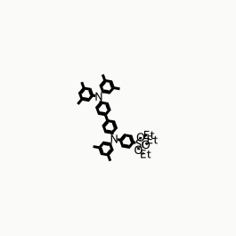 CCO[Si](OCC)(OCC)c1ccc(N(c2ccc(-c3ccc(N(c4cc(C)cc(C)c4)c4cc(C)cc(C)c4)cc3)cc2)c2cc(C)cc(C)c2)cc1